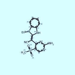 CCN1/C(=C(\C#N)c2nc(N)ncc2S(C)(=O)=O)Nc2ccccc21